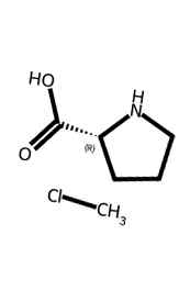 CCl.O=C(O)[C@H]1CCCN1